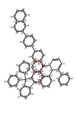 C1=CC(N(c2ccc(-c3ccc(-c4ccc5ccccc5c4)cc3)cc2)c2ccc3c(c2)C(c2ccccc2)(c2ccccc2)c2ccccc2-3)C(c2ccccc2-c2ccccc2)C(c2ccccc2)=C1